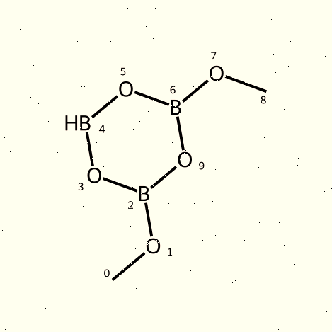 COB1OBOB(OC)O1